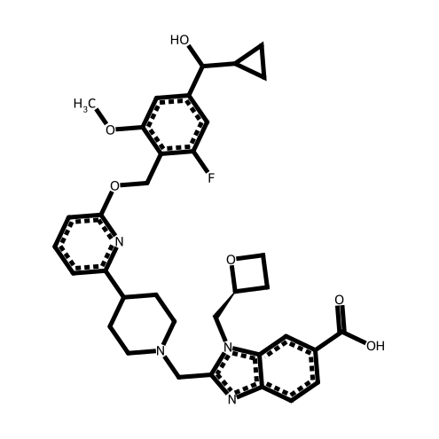 COc1cc(C(O)C2CC2)cc(F)c1COc1cccc(C2CCN(Cc3nc4ccc(C(=O)O)cc4n3C[C@@H]3CCO3)CC2)n1